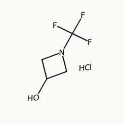 Cl.OC1CN(C(F)(F)F)C1